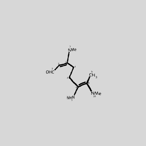 CNC(=CC=O)CCC(NC)=C(C)NC